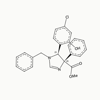 COC(=O)[C@]1(c2ccccc2)N=CN(Cc2ccccc2)[C@H]1c1ccc(Cl)cc1O